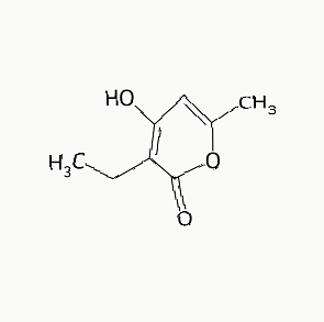 CCc1c(O)cc(C)oc1=O